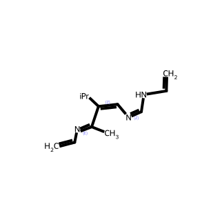 C=C/N=C(C)/C(=C\N=C/NC=C)C(C)C